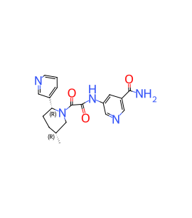 C[C@@H]1CC[C@H](c2cccnc2)N(C(=O)C(=O)Nc2cncc(C(N)=O)c2)C1